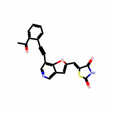 CC(=O)c1ccccc1C#Cc1cncc2cc(/C=C3\SC(=O)NC3=O)oc12